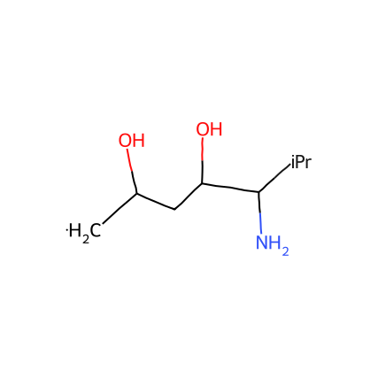 [CH2]C(O)CC(O)C(N)C(C)C